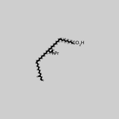 C=CCC(=C)CCCCCCC/C=C\CCCCCCCCC(CCCCCCCC/C=C\CCCCCCCC(=O)O)CC(=C)CCC